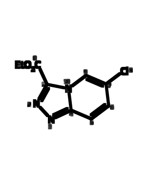 CCOC(=O)c1nnc2ccc(Cl)cn12